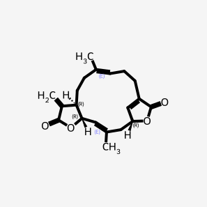 C=C1C(=O)O[C@H]2/C=C(\C)C[C@@H]3C=C(CC/C=C(\C)CC[C@H]12)C(=O)O3